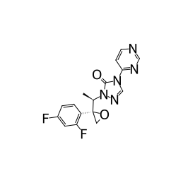 C[C@@H](n1ncn(-c2ccncn2)c1=O)[C@]1(c2ccc(F)cc2F)CO1